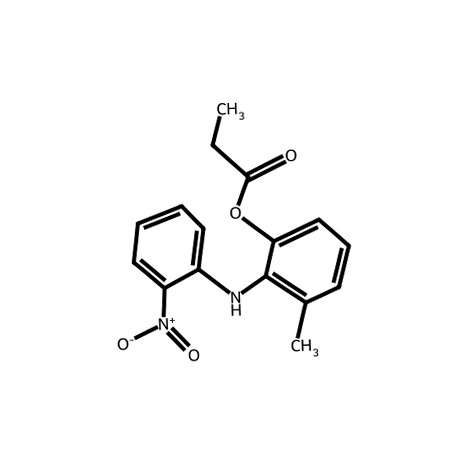 CCC(=O)Oc1cccc(C)c1Nc1ccccc1[N+](=O)[O-]